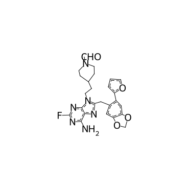 Nc1nc(F)nc2c1nc(Cc1cc3c(cc1-c1ccco1)OCO3)n2CCC1CCN(C=O)CC1